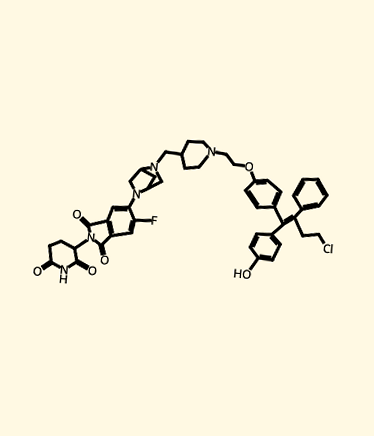 O=C1CCC(N2C(=O)c3cc(F)c(N4CC5CC4CN5CC4CCN(CCOc5ccc(C(=C(CCCl)c6ccccc6)c6ccc(O)cc6)cc5)CC4)cc3C2=O)C(=O)N1